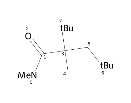 CNC(=O)C(C)(CC(C)(C)C)C(C)(C)C